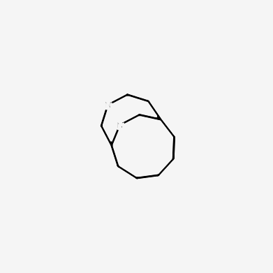 C1CCC2CCNCC(CC1)NC2